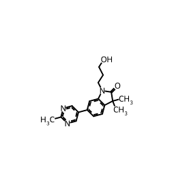 Cc1ncc(-c2ccc3c(c2)N(CCCO)C(=O)C3(C)C)cn1